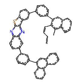 C=C/C=C\c1c(-c2cccc(-c3ccc4sc5nc6ccc(-c7cccc(-c8cc9ccccc9c9ccccc89)c7)cc6nc5c4c3)c2)cc2ccccc2c1C